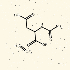 C=C.NC(=O)NC(CC(=O)O)C(=O)O